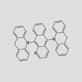 c1ccc2c(c1)Cc1ccccc1N2c1c2ccccc2c(N2c3ccccc3Cc3ccccc32)c2ncccc12